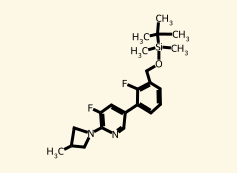 CC1CN(c2ncc(-c3cccc(CO[Si](C)(C)C(C)(C)C)c3F)cc2F)C1